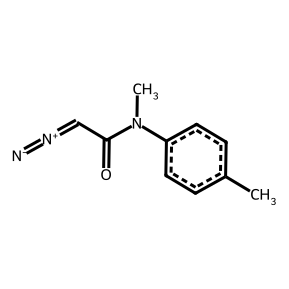 Cc1ccc(N(C)C(=O)C=[N+]=[N-])cc1